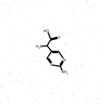 Nc1ncc(C(N)C(=O)O)cn1